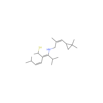 C/C(=C/C1CC1(C)C)CN/C(=C(/C=C\C(C)C)C(C)S)C(C)C